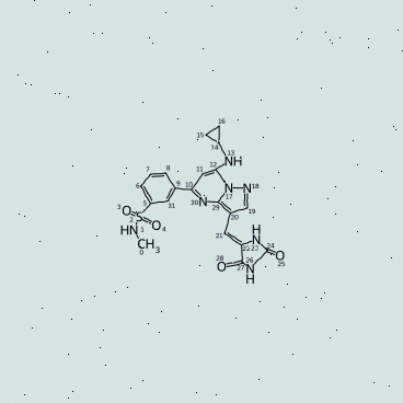 CNS(=O)(=O)c1cccc(-c2cc(NC3CC3)n3ncc(/C=C4\NC(=O)NC4=O)c3n2)c1